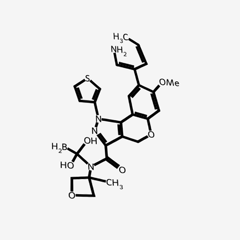 BC(O)(O)N(C(=O)c1nn(-c2ccsc2)c2c1COc1cc(OC)c(C(/C=C\C)=C/N)cc1-2)C1(C)COC1